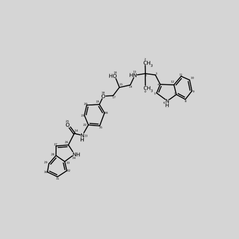 CC(C)(Cc1c[nH]c2ccccc12)NCC(O)COc1ccc(NC(=O)c2cc3ccccc3[nH]2)cc1